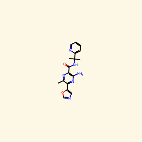 Cc1nc(C(=O)NC(C)(C)c2ccccn2)c(N)nc1-c1cnco1